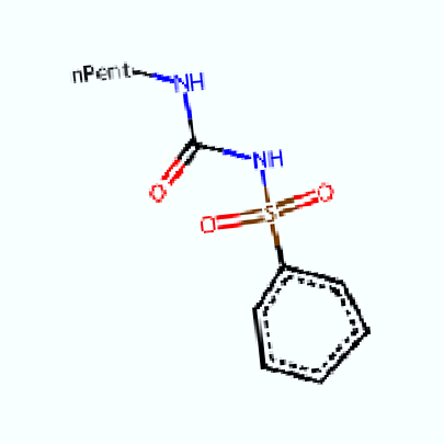 CCCCCNC(=O)NS(=O)(=O)c1ccccc1